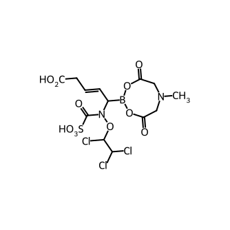 CN1CC(=O)OB(C(/C=C/CC(=O)O)N(OC(Cl)C(Cl)Cl)C(=O)S(=O)(=O)O)OC(=O)C1